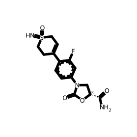 N=S1(=O)CC=C(c2ccc(N3C[C@H](C(N)=O)OC3=O)cc2F)CC1